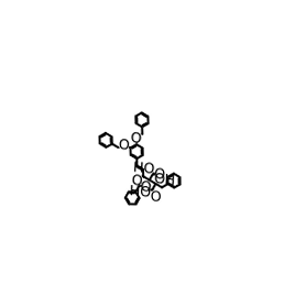 O=C(O)C(O)(Cc1ccccc1)C(OCc1ccccc1)(C(=O)O)C(=O)/C=C/c1ccc(OCc2ccccc2)c(OCc2ccccc2)c1